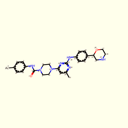 CC(=O)c1ccc(NC(=O)N2CCN(c3cc(C)nc(Nc4ccc(C5CNCCO5)cc4)n3)CC2)cc1